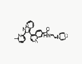 Cc1cccc(-c2nn3ccccc3c2-c2ccnc3cc(C(=O)NCCN4CCOCC4)ccc23)n1